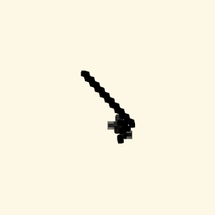 CCCCCCCCCCCCCCCCCCC(CC)C(C(=O)O)C(C)C(=O)NCC